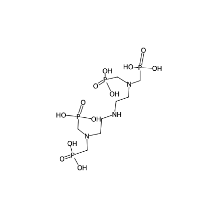 O=P(O)(O)CN(CCNCCN(CP(=O)(O)O)CP(=O)(O)O)CP(=O)(O)O